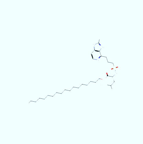 CCCCCCCCCCCCCCCCCCOC(=O)[C@H](CC(C)C)NS(=O)(=O)CCCc1nccc2[nH]c(C)nc12